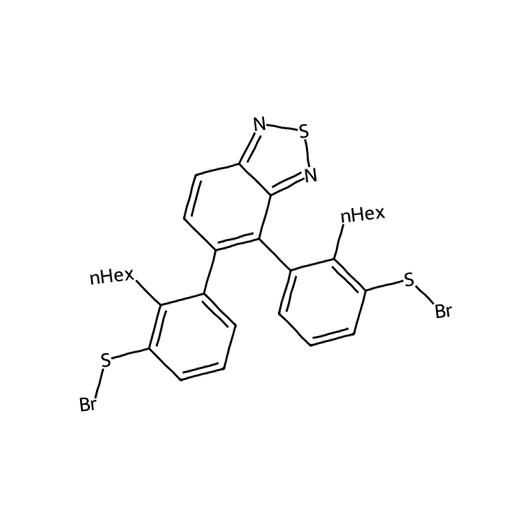 CCCCCCc1c(SBr)cccc1-c1ccc2nsnc2c1-c1cccc(SBr)c1CCCCCC